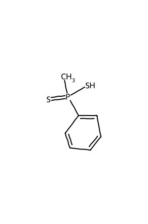 CP(=S)(S)c1ccccc1